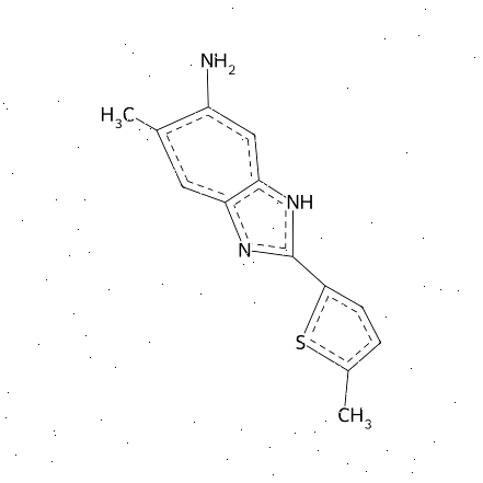 Cc1ccc(-c2nc3cc(C)c(N)cc3[nH]2)s1